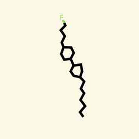 CCCCCCCC1CCC(C2CCC(CCCCF)CC2)CC1